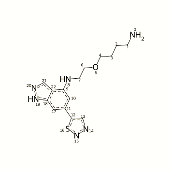 NCCCCOCCNc1cc(-c2cnns2)cc2[nH]ncc12